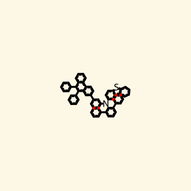 c1ccc(-c2cccc(-c3ccccc3)c2N(c2cccc(-c3ccc4c(c3)c(-c3ccccc3)c(-c3ccccc3)c3ccccc34)c2)c2ccc3sc4ccccc4c3c2)cc1